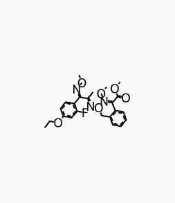 CCOc1ccc(C(=NOC)C(C)=NOCc2ccccc2C(=NOC)C(=O)OC)c(F)c1